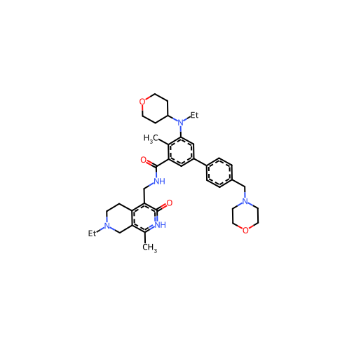 CCN1CCc2c(c(C)[nH]c(=O)c2CNC(=O)c2cc(-c3ccc(CN4CCOCC4)cc3)cc(N(CC)C3CCOCC3)c2C)C1